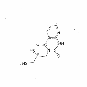 O=c1[nH]c2ncccc2c(=O)n1C[C@@H](S)CS